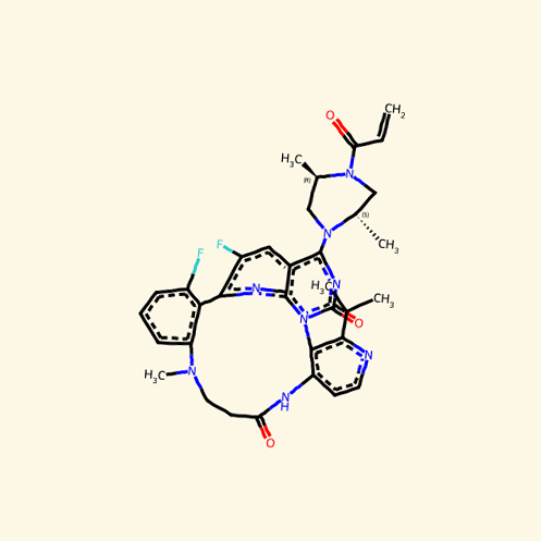 C=CC(=O)N1C[C@H](C)N(c2nc(=O)n3c4nc(c(F)cc24)-c2c(F)cccc2N(C)CCC(=O)Nc2ccnc(C(C)C)c2-3)C[C@H]1C